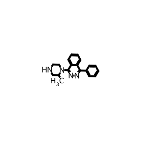 CC1CNCCN1c1nnc(-c2ccccc2)c2ccccc12